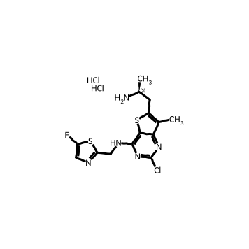 Cc1c(C[C@H](C)N)sc2c(NCc3ncc(F)s3)nc(Cl)nc12.Cl.Cl